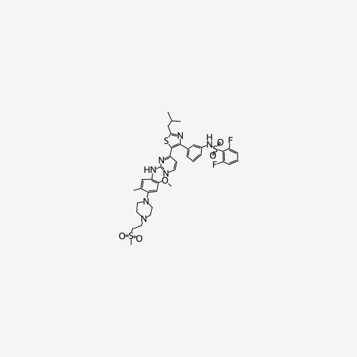 COc1cc(N2CCN(CCS(C)(=O)=O)CC2)c(C)cc1Nc1nccc(-c2sc(CC(C)C)nc2-c2cccc(NS(=O)(=O)c3c(F)cccc3F)c2)n1